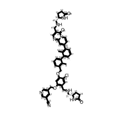 Cc1c(COc2cc(OCc3cncc(C#N)c3)c(CNC[C@@H]3CCC(=O)N3)cc2Cl)cccc1-c1cccc(-c2ccn3c(=O)c(CNC[C@@H]4CCC(=O)N4)cnc3c2)c1C